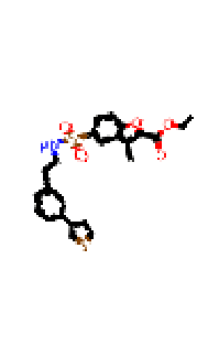 CCOC(=O)c1oc2ccc(S(=O)(=O)NCCc3cccc(-c4ccsc4)c3)cc2c1C